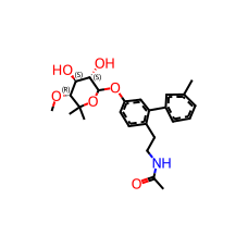 CO[C@@H]1[C@@H](O)[C@H](O)C(Oc2ccc(CCNC(C)=O)c(-c3cccc(C)c3)c2)OC1(C)C